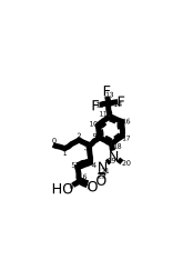 CCCC(C=CC(=O)O)c1cc(C(F)(F)F)ccc1N(C)N=O